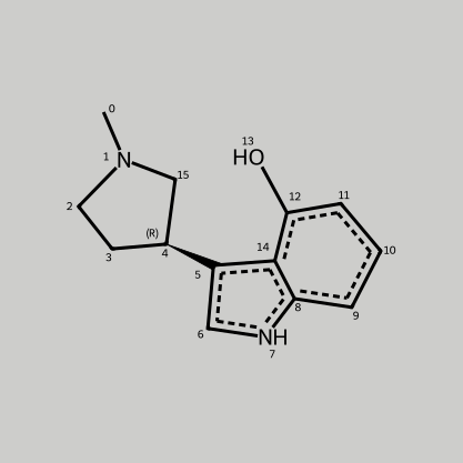 CN1CC[C@H](c2c[nH]c3cccc(O)c23)C1